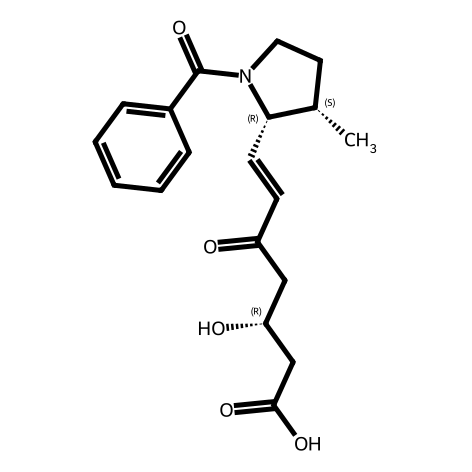 C[C@H]1CCN(C(=O)c2ccccc2)[C@H]1C=CC(=O)C[C@@H](O)CC(=O)O